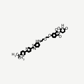 CN(C)c1ccc(-c2ccc(-c3nc4ccc(NCCOCCOc5ccc6c(c5)C(=O)N(C5CCC(=O)NC5=O)C6=O)cc4s3)cn2)cn1